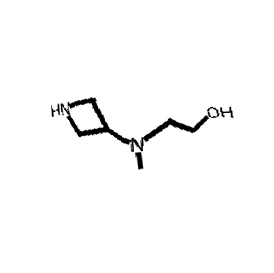 CN(CCO)C1CNC1